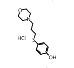 Cl.Oc1ccc(SCCCN2CCOCC2)cc1